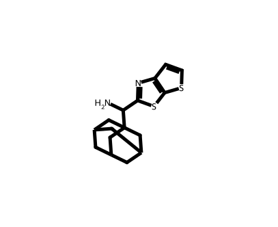 NC(c1nc2ccsc2s1)C12CC3CC(CC(C3)C1)C2